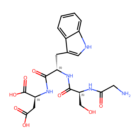 NCC(=O)N[C@@H](CO)C(=O)N[C@@H](Cc1c[nH]c2ccccc12)C(=O)N[C@@H](CC(=O)O)C(=O)O